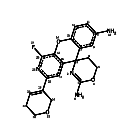 NC1=NC2(CCO1)c1cc(N)ccc1Oc1c2cc(C2=CCCOC2)nc1F